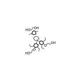 CCc1cc(C2(c3cc(CC)c(OCCO)c(CC)c3)CCCCC2)cc(CC)c1OCCO.Cc1ccc(C)cc1.OCCO